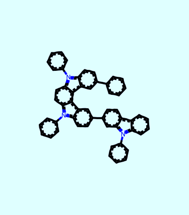 c1ccc(-c2ccc3c(c2)c2c4c5cc(-c6ccc7c8ccccc8n(-c8ccccc8)c7c6)ccc5n(-c5ccccc5)c4ccc2n3-c2ccccc2)cc1